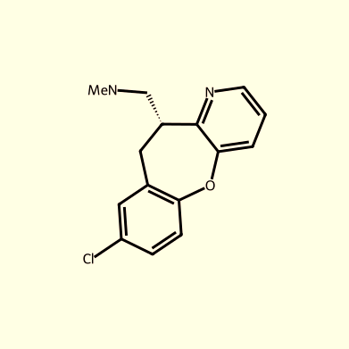 CNC[C@H]1Cc2cc(Cl)ccc2Oc2cccnc21